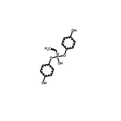 C=C[PH](O)(Oc1ccc(O)cc1)Oc1ccc(O)cc1